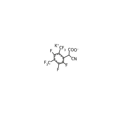 N#CC(C(=O)[O-])c1c(F)c(F)c(C(F)(F)F)c(F)c1C(F)(F)F.[K+]